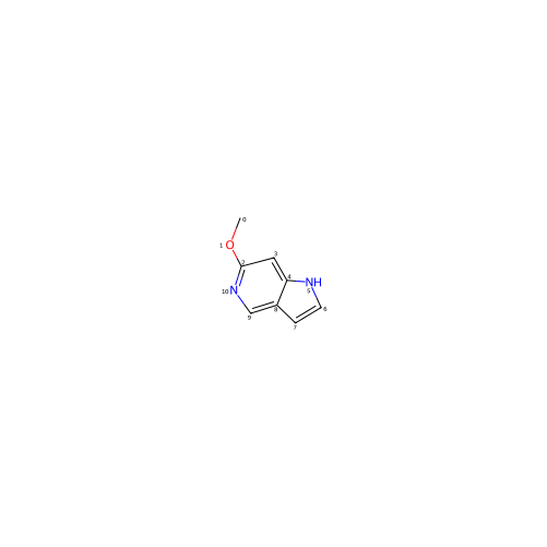 COc1cc2[nH]ccc2cn1